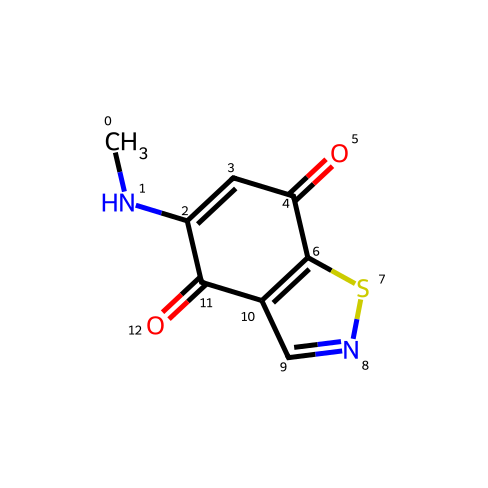 CNC1=CC(=O)c2sncc2C1=O